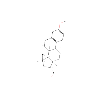 COC1=CCC2=C(C1)C[C@@H](C)[C@@H]1[C@@H]2CC[C@]2(C)[C@@H](CO)C[C@@H]3C[C@@]312